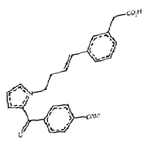 COc1ccc(C(=O)c2cccn2CCC=Cc2cccc(CC(=O)O)c2)cc1